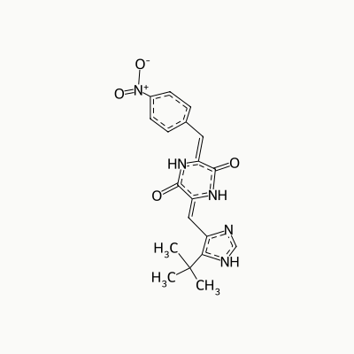 CC(C)(C)c1[nH]cnc1/C=c1\[nH]c(=O)/c(=C/c2ccc([N+](=O)[O-])cc2)[nH]c1=O